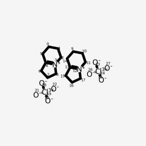 C1CC[N+]2=C(C1)CCC2.C1CC[N+]2=C(C1)CCC2.[O-][Cl+3]([O-])([O-])[O-].[O-][Cl+3]([O-])([O-])[O-]